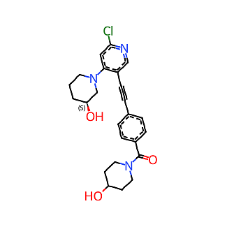 O=C(c1ccc(C#Cc2cnc(Cl)cc2N2CCC[C@H](O)C2)cc1)N1CCC(O)CC1